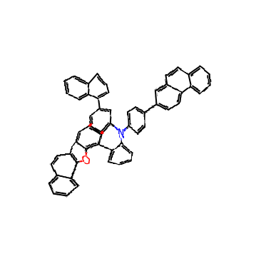 c1cc(-c2cccc3ccccc23)cc(N(c2ccc(-c3ccc4c(ccc5ccccc54)c3)cc2)c2ccccc2-c2cccc3c2oc2c4ccccc4ccc32)c1